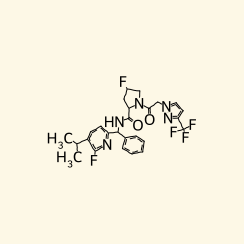 CC(C)c1ccc(C(NC(=O)C2CC(F)CN2C(=O)Cn2ccc(C(F)(F)F)n2)c2ccccc2)nc1F